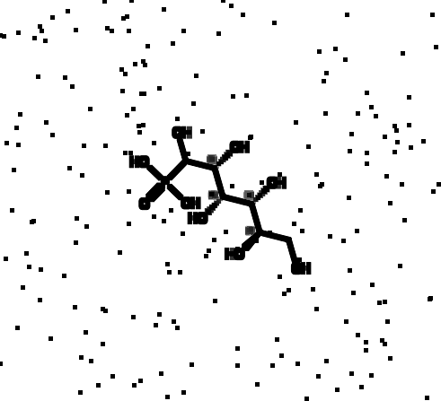 O=P(O)(O)C(O)[C@H](O)[C@@H](O)[C@H](O)[C@H](O)CO